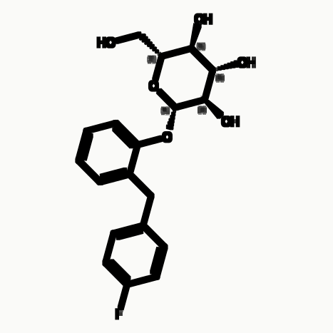 OC[C@H]1O[C@@H](Oc2ccccc2Cc2ccc(F)cc2)[C@H](O)[C@@H](O)[C@@H]1O